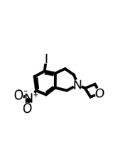 O=[N+]([O-])c1cc(I)c2c(c1)CN(C1COC1)CC2